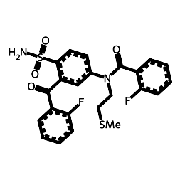 CSCCN(C(=O)c1ccccc1F)c1ccc(S(N)(=O)=O)c(C(=O)c2ccccc2F)c1